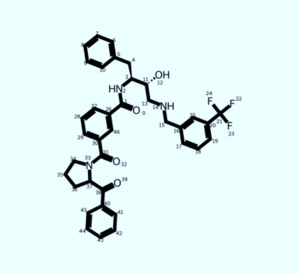 O=C(N[C@@H](Cc1ccccc1)[C@H](O)CNCc1cccc(C(F)(F)F)c1)c1cccc(C(=O)N2CCCC2C(=O)c2ccccc2)c1